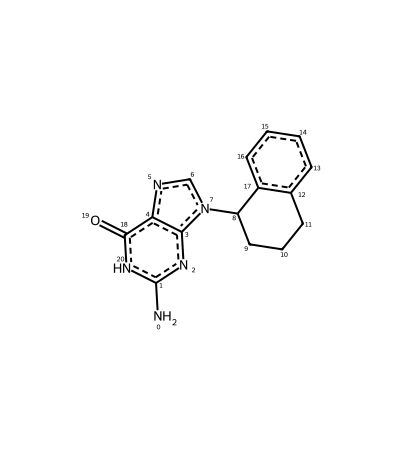 Nc1nc2c(ncn2C2CCCc3ccccc32)c(=O)[nH]1